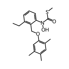 CCc1cccc(N(O)C(=O)SC)c1COc1cc(C)c(C)cc1C